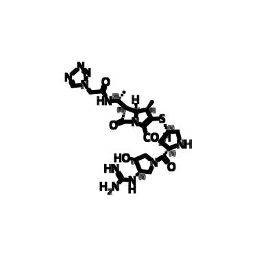 C[C@@H](NC(=O)Cn1cnnn1)[C@H]1C(=O)N2C(C(=O)O)=C(S[C@@H]3CN[C@H](C(=O)N4C[C@H](NC(=N)N)[C@@H](O)C4)C3)[C@H](C)[C@H]12